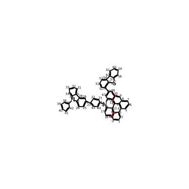 c1ccc(-c2cccc3cccc(-c4ccccc4N(c4ccc(-c5ccc6c(c5)c5ccccc5n6-c5ccccc5)cc4)c4cccc(-c5cccc6c5sc5ccccc56)c4)c23)cc1